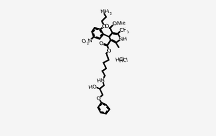 COC(=O)C1=C(C(F)(F)F)NC(C)=C(C(=O)OCCCCCCNCC(O)COc2ccccc2)C1c1cc([N+](=O)[O-])ccc1OCCN.Cl.Cl